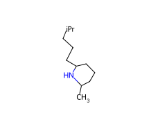 CC(C)CCCC1CCCC(C)N1